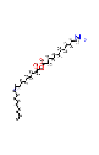 CCCCCCCC/C=C\CCCCCCCC(=O)OC(=O)CCCCCCCCCCCN